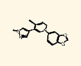 CC1=CCN(c2ccc3c(c2)OCO3)C=C1c1cnn(C)c1